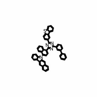 c1ccc(-c2cccc(-c3nc(-c4ccc5sc6ccccc6c5c4)nc(-c4ccc(-n5c6ccccc6c6cc7ccccc7cc65)c5ccccc45)n3)c2)cc1